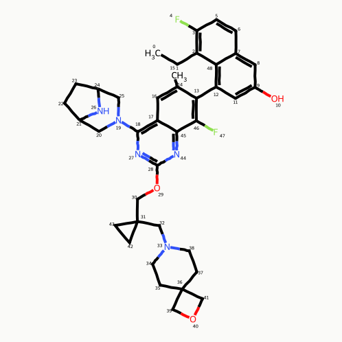 CCc1c(F)ccc2cc(O)cc(-c3c(C)cc4c(N5CC6CCC(C5)N6)nc(OCC5(CN6CCC7(CC6)COC7)CC5)nc4c3F)c12